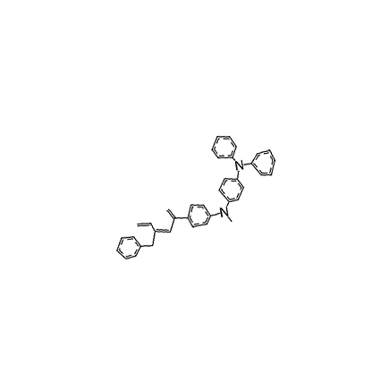 C=C/C(=C\C(=C)c1ccc(N(C)c2ccc(N(c3ccccc3)c3ccccc3)cc2)cc1)Cc1ccccc1